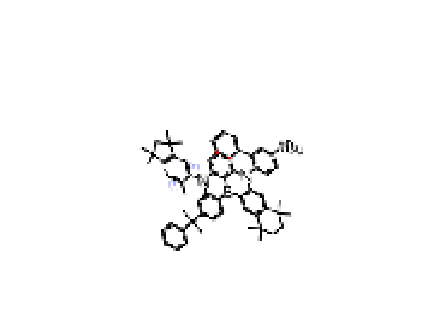 C/C=C(C)\C(=C/C1=CC(C)(C)CC1(C)C)N1c2cc(C(C)(C)c3ccccc3)ccc2B2c3cc4c(cc3N(c3ccc(C(C)(C)C)cc3C3=CC=CCC3)c3cc(C)cc1c32)C(C)(C)CCC4(C)C